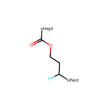 CCCCCCCC(=O)OCCC(F)CCCCC